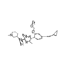 CCOCOc1cc(C#CC2CC2)ccc1-c1nnc(NC2CCCN(C)C2)nc1C